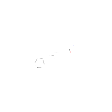 NC(=O)OCCC(N)Cc1ccccc1